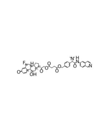 CN(C)C(C(=O)Nc1ccc2cnccc2c1)c1ccc(COC(=O)CCC(=O)OCC(=O)[C@H]2CCC3[C@@H]4C[C@H](F)C5=CC(=O)C=C[C@]5(C)C4[C@@H](O)C[C@@]32C)cc1